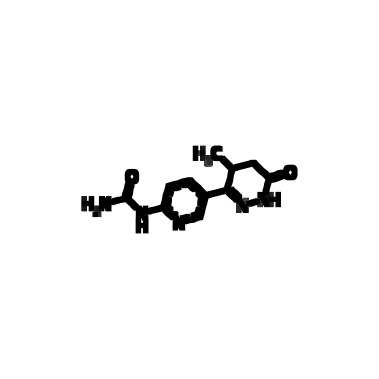 CC1CC(=O)NN=C1c1ccc(NC(N)=O)nc1